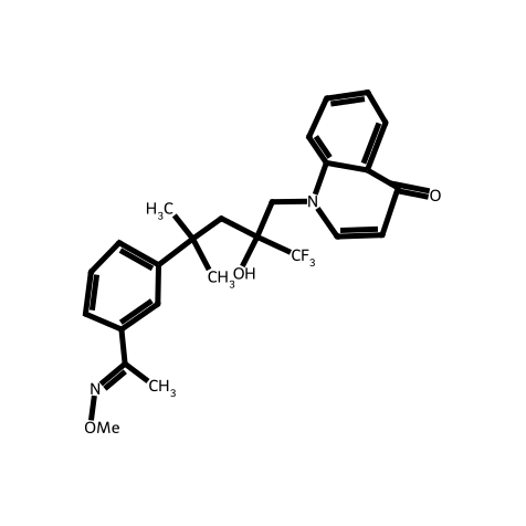 CO/N=C(\C)c1cccc(C(C)(C)CC(O)(Cn2ccc(=O)c3ccccc32)C(F)(F)F)c1